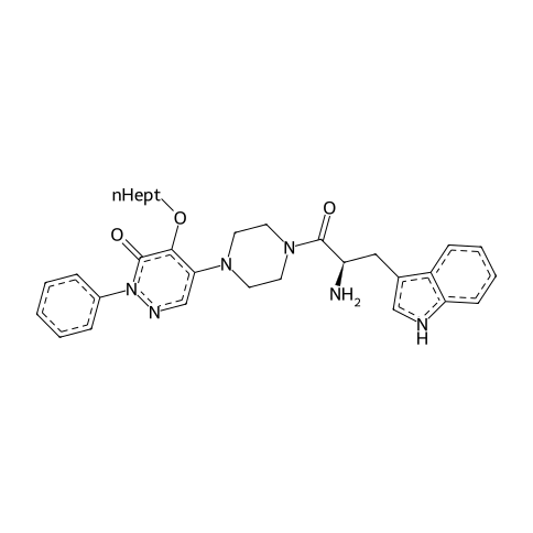 CCCCCCCOc1c(N2CCN(C(=O)[C@H](N)Cc3c[nH]c4ccccc34)CC2)cnn(-c2ccccc2)c1=O